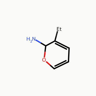 CCC1=CC=COC1N